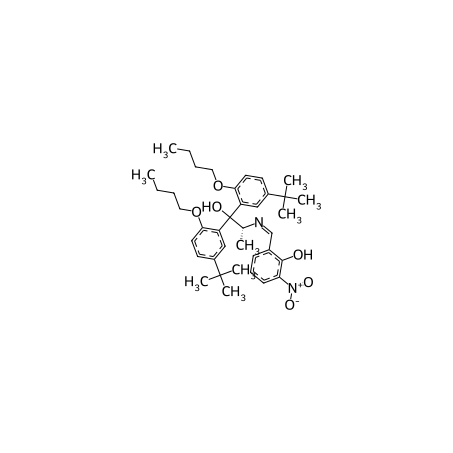 CCCCOc1ccc(C(C)(C)C)cc1C(O)(c1cc(C(C)(C)C)ccc1OCCCC)[C@@H](C)N=Cc1cccc([N+](=O)[O-])c1O